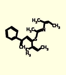 C=C(/C=C(S/C(C)=N/C(C)=C\C)\C(C)=C/C)c1ccccc1